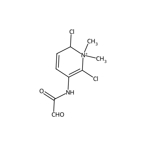 C[N+]1(C)C(Cl)=C(NC(=O)C=O)C=CC1Cl